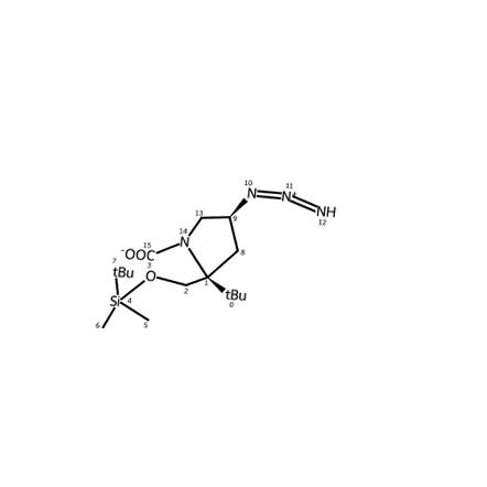 CC(C)(C)[C@]1(CO[Si](C)(C)C(C)(C)C)C[C@H](N=[N+]=N)CN1C(=O)[O-]